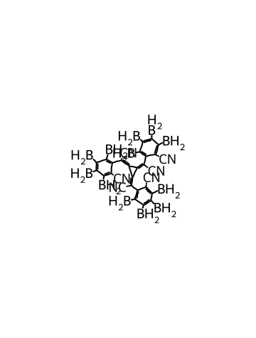 Bc1c(B)c(B)c(C(C#N)=C2C(=C(C#N)c3c(B)c(B)c(B)c(B)c3C#N)C2=C(C#N)c2c(B)c(B)c(B)c(B)c2C#N)c(C#N)c1B